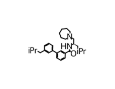 CC(C)Cc1cccc(-c2cccc(C(=O)N[C@H](CC(C)C)CN3CCCCCC3)c2)c1